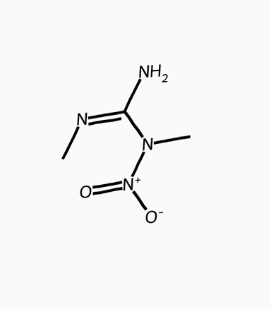 CN=C(N)N(C)[N+](=O)[O-]